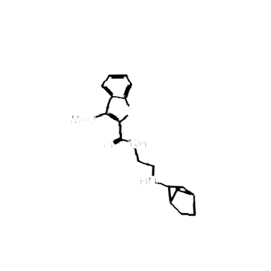 COc1c(C(=O)NCCNC2CC3CCC2C3)sc2ccccc12